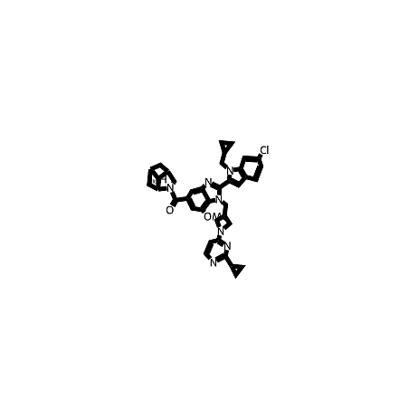 COc1cc(C(=O)N2CC3CC4CC2[C@H]43)cc2nc(-c3cc4ccc(Cl)cc4n3CC3CC3)n(CC3CN(c4ccnc(C5CC5)n4)C3)c12